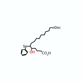 CCCCCCCCCCCCCCCCCCCC([Se]c1ccccc1)C(O)CCCC(=O)O